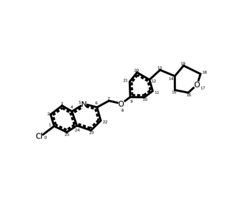 Clc1ccc2nc(COc3ccc(CC4CCOCC4)cc3)ccc2c1